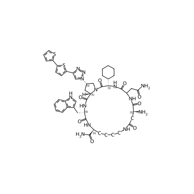 NC(=O)CC1NC(=O)[C@@H](N)CC(=O)NCCCC[C@@H](C(N)=O)NC(=O)[C@H](Cc2c[nH]c3ccccc23)NC(=O)[C@@H]2C[C@H](n3cc(-c4ccc(-c5cccs5)s4)nn3)CN2C(=O)[C@H](C2CCCCC2)NC1=O